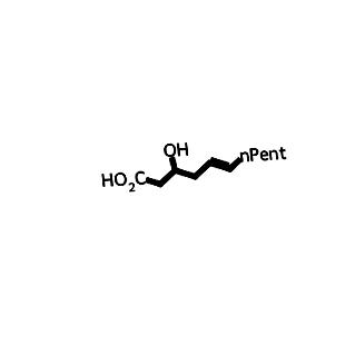 CCCCCC=CCC(O)CC(=O)O